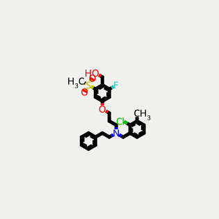 Cc1cccc(CN(CCCOc2cc(F)c(CO)c(S(C)(=O)=O)c2)CCc2ccccc2)c1Cl